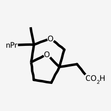 CCCC1(C)OCC2(CC(=O)O)CCC1O2